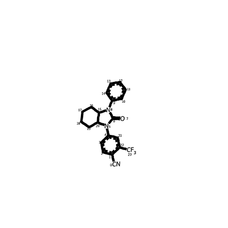 N#Cc1ccc(N2C(=O)N(c3ccccc3)C3CCCCC32)cc1C(F)(F)F